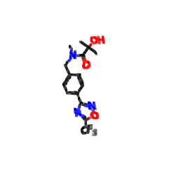 CN(Cc1ccc(-c2noc(C(F)(F)F)n2)cc1)C(=O)C(C)(C)O